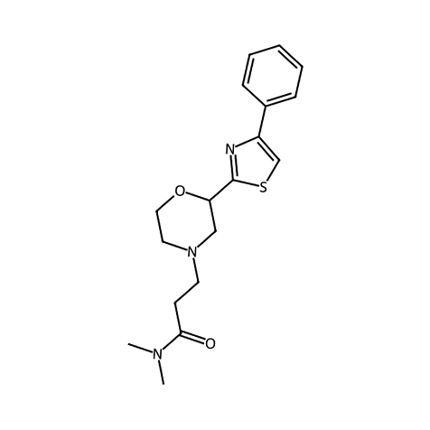 CN(C)C(=O)CCN1CCOC(c2nc(-c3ccccc3)cs2)C1